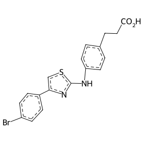 O=C(O)CCc1ccc(Nc2nc(-c3ccc(Br)cc3)cs2)cc1